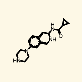 O=C(NC1C=c2ccc(N3CCNCC3)cc2=CN1)C1CC1